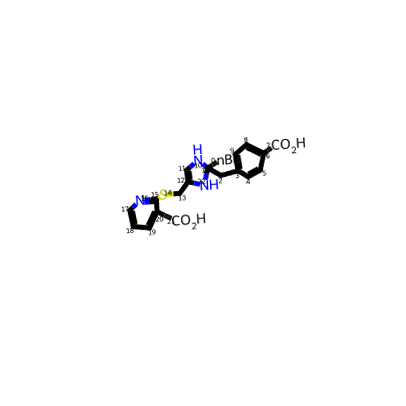 CCCCC1(Cc2ccc(C(=O)O)cc2)NC=C(CSc2ncccc2C(=O)O)N1